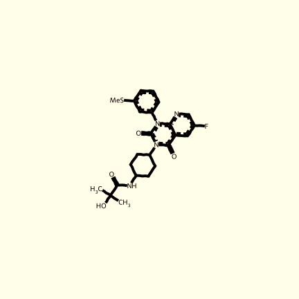 CSc1cccc(-n2c(=O)n(C3CCC(NC(=O)C(C)(C)O)CC3)c(=O)c3cc(F)cnc32)c1